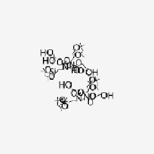 CC1CC(C)(C)OC(C)(CCCN(CN(CCC[Si]2(C)OC(C)CC(C)(C)O2)C(=O)OCC(O)CO)C(=O)OCC(O)CO)O1.CC1CC(C)(C)OC(C)(CCCN(CN(CCC[Si]2(C)OC(C)CC(C)(C)O2)C(=O)OCCO)C(=O)OCCO)O1